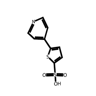 O=S(=O)(O)c1ccc(-c2ccncc2)s1